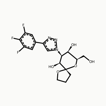 OC[C@H]1O[C@@]2(CCCO2)[C@@H](O)[C@@H](n2cc(-c3cc(F)c(F)c(F)c3)nn2)[C@H]1O